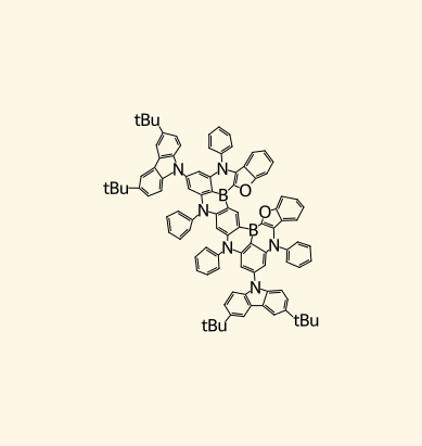 CC(C)(C)c1ccc2c(c1)c1cc(C(C)(C)C)ccc1n2-c1cc2c3c(c1)N(c1ccccc1)c1c(oc4ccccc14)B3c1cc3c(cc1N2c1ccccc1)N(c1ccccc1)c1cc(-n2c4ccc(C(C)(C)C)cc4c4cc(C(C)(C)C)ccc42)cc2c1B3c1oc3ccccc3c1N2c1ccccc1